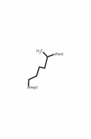 [CH2]CCCCCCCCCCC(C)CCCCC